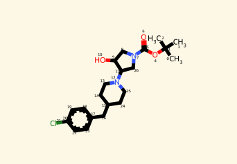 CC(C)(C)OC(=O)N1CC(O)C(N2CCC(Cc3ccc(Cl)cc3)CC2)C1